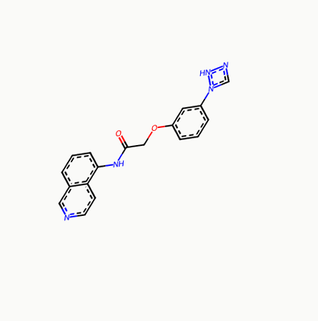 O=C(COc1cccc(-n2cn[nH]2)c1)Nc1cccc2cnccc12